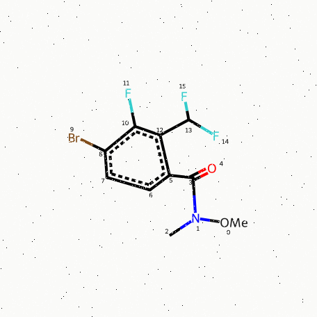 CON(C)C(=O)c1ccc(Br)c(F)c1C(F)F